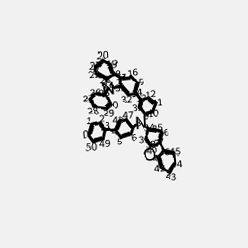 c1ccc(-c2ccc(N(c3cccc(-c4ccc5c6ccccc6n(-c6ccccc6)c5c4)c3)c3ccc4c(c3)oc3ccccc34)cc2)cc1